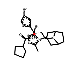 CC(=O)c1csc([C@H](CCN2C3CCC2CC(n2c(C)nnc2C(C)C)C3)NC(=O)C2CCCC2)c1